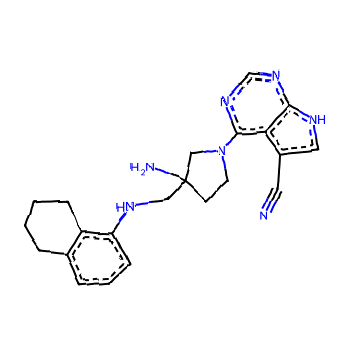 N#Cc1c[nH]c2ncnc(N3CCC(N)(CNc4cccc5c4CCCC5)C3)c12